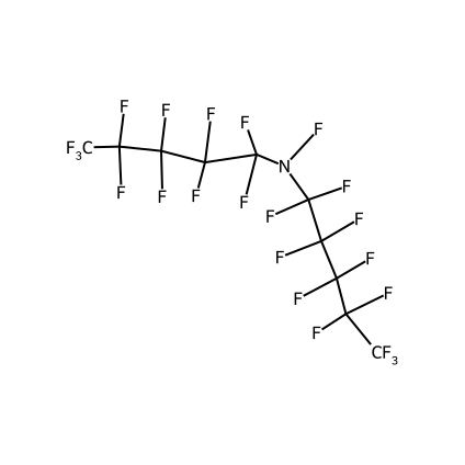 FN(C(F)(F)C(F)(F)C(F)(F)C(F)(F)C(F)(F)F)C(F)(F)C(F)(F)C(F)(F)C(F)(F)C(F)(F)F